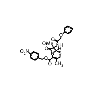 COC1(NC(=O)COc2ccccc2)C(=O)N2C(C(=O)OCc3ccc([N+](=O)[O-])cc3)=C(C)CS[C@H]21